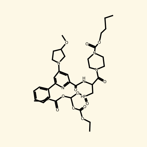 CCCCOC(=O)N1CCN(C(=O)C(C[PH](=O)OC(OC(=O)OCC)OC(=O)OCC)NC(=O)c2cc(N3CCC(OC)C3)cc(-c3ccccc3)n2)CC1